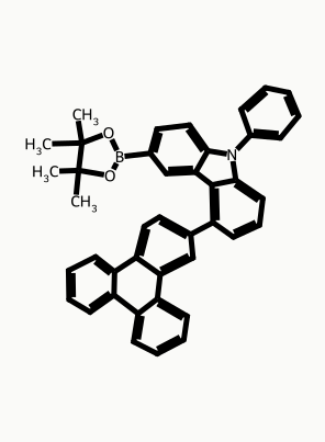 CC1(C)OB(c2ccc3c(c2)c2c(-c4ccc5c6ccccc6c6ccccc6c5c4)cccc2n3-c2ccccc2)OC1(C)C